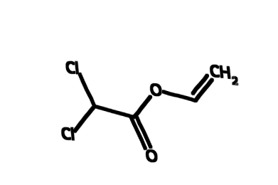 C=COC(=O)C(Cl)Cl